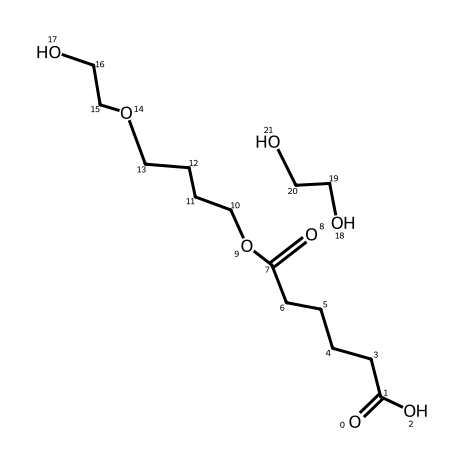 O=C(O)CCCCC(=O)OCCCCOCCO.OCCO